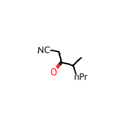 CCCC(C)C(=O)CC#N